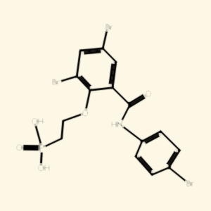 O=C(Nc1ccc(Br)cc1)c1cc(Br)cc(Br)c1OCCP(=O)(O)O